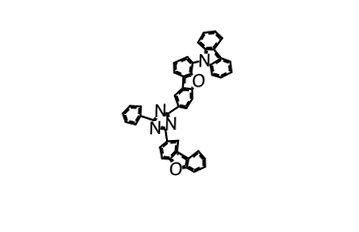 c1ccc(-c2nc(-c3ccc4oc5ccccc5c4c3)nc(-c3ccc4oc5c(-n6c7ccccc7c7ccccc76)cccc5c4c3)n2)cc1